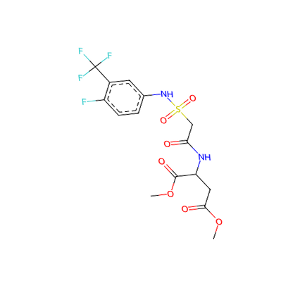 COC(=O)CC(NC(=O)CS(=O)(=O)Nc1ccc(F)c(C(F)(F)F)c1)C(=O)OC